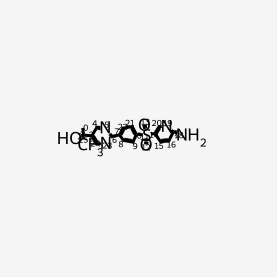 C[C@@](O)(c1cnc(-c2ccc(S(=O)(=O)c3ccc(N)nc3)cc2)nc1)C(F)(F)F